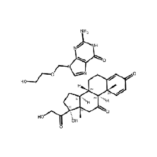 C[C@]12C=CC(=O)C=C1CC[C@@H]1[C@@H]2C(=O)C[C@@]2(C)[C@H]1CC[C@]2(O)C(=O)CO.Nc1nc2c(ncn2COCCO)c(=O)[nH]1